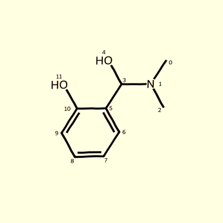 CN(C)C(O)c1ccccc1O